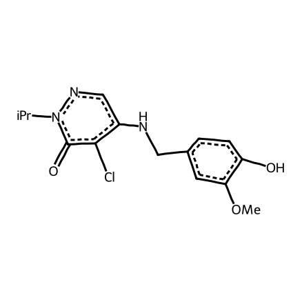 COc1cc(CNc2cnn(C(C)C)c(=O)c2Cl)ccc1O